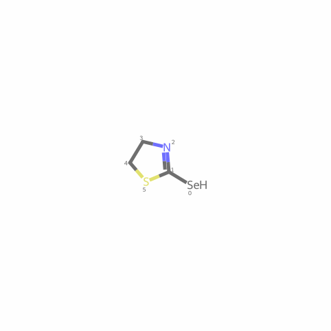 [SeH]C1=NCCS1